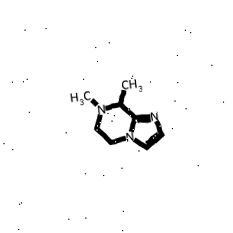 CC1c2nccn2CCN1C